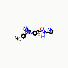 N#Cc1ccc(CN2C=NCC2CNc2ccc3sc(C(=O)NCCc4ccccn4)cc3c2)cc1